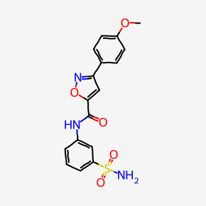 COc1ccc(-c2cc(C(=O)Nc3cccc(S(N)(=O)=O)c3)on2)cc1